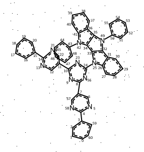 c1ccc(-c2ncc(-c3nc(-c4cnc(-c5ccccc5)nc4)nc(-n4c5ccccc5c5c4c4c(c6ccccc6n4-c4ccccc4)n5-c4ccccc4)n3)cn2)cc1